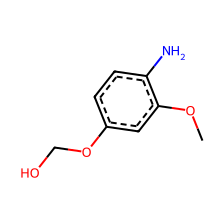 COc1cc(OCO)ccc1N